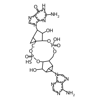 Nc1nc2c(ncn2C2C(O)C3OP(=O)(O)OCC4C5CC(C(O)C4OP(=O)(S)OCC34CC24)C5n2cnc3c(N)ncnc32)c(=O)[nH]1